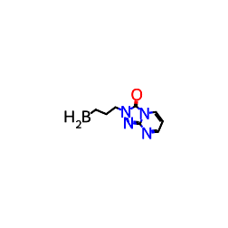 BCCCn1nc2ncccn2c1=O